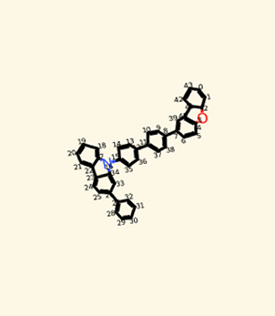 C1=CC2Oc3ccc(-c4ccc(-c5ccc(-n6c7ccccc7c7ccc(-c8ccccc8)cc76)cc5)cc4)cc3C2C=C1